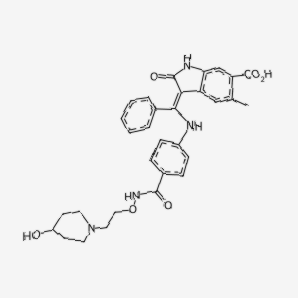 Cc1cc2c(cc1C(=O)O)NC(=O)C2=C(Nc1ccc(C(=O)NOCCN2CCC(O)CC2)cc1)c1ccccc1